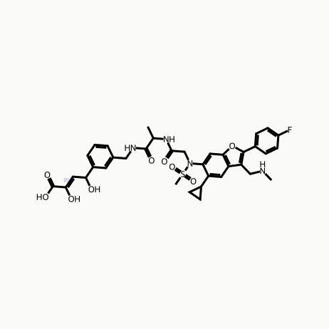 CNCc1c(-c2ccc(F)cc2)oc2cc(N(CC(=O)NC(C)C(=O)NCc3cccc(C(O)/C=C(\O)C(=O)O)c3)S(C)(=O)=O)c(C3CC3)cc12